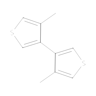 Cc1cscc1-c1cscc1C